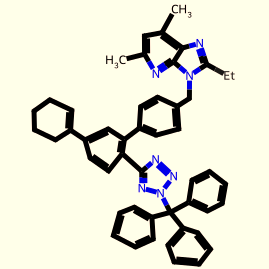 CCc1nc2c(C)cc(C)nc2n1Cc1ccc(-c2cc(C3=CCCCC3)ccc2-c2nnn(C(c3ccccc3)(c3ccccc3)c3ccccc3)n2)cc1